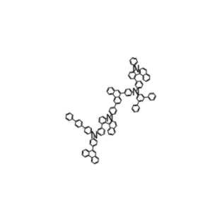 c1ccc(-c2ccc(-c3ccc(N(c4ccc(-c5cc6ccccc6c6ccccc56)cc4)c4cccc(-c5cccc6c5c5c7ccccc7ccc5n6-c5ccc(-c6ccc7c(-c8ccc(N(c9cc(-c%10ccccc%10)cc(-c%10ccccc%10)c9)c9cccc(-c%10cccc%11c%10c%10c%12ccccc%12ccc%10n%11-c%10ccccc%10)c9)cc8)cc8ccccc8c7c6)cc5)c4)cc3)cc2)cc1